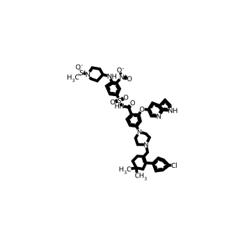 C[S+]([O-])N1CCC(Nc2ccc(S(=O)(=O)NC(=O)c3ccc(N4CCN(CC5=C(c6ccc(Cl)cc6)CC(C)(C)CC5)CC4)cc3Oc3cnc4[nH]ccc4c3)cc2[N+](=O)[O-])CC1